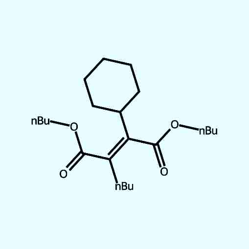 CCCCOC(=O)C(CCCC)=C(C(=O)OCCCC)C1CCCCC1